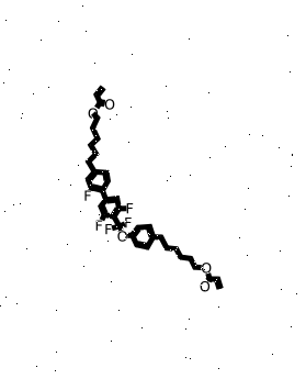 C=CC(=O)OCCCCCCc1ccc(OC(F)(F)c2c(F)cc(-c3ccc(CCCCCCOC(=O)C=C)cc3F)cc2F)cc1